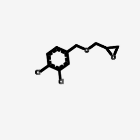 Clc1ccc(COCC2CO2)cc1Cl